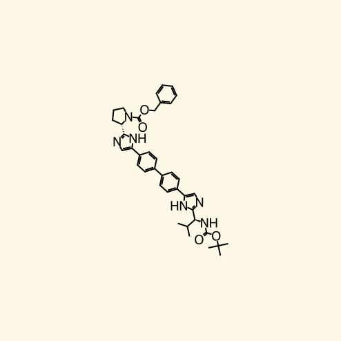 CC(C)[C@H](NC(=O)OC(C)(C)C)c1ncc(-c2ccc(-c3ccc(-c4cnc([C@@H]5CCCN5C(=O)OCc5ccccc5)[nH]4)cc3)cc2)[nH]1